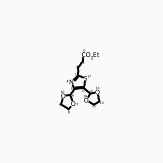 CCOC(=O)CCc1nc(C2OCCO2)c(C2OCCO2)s1